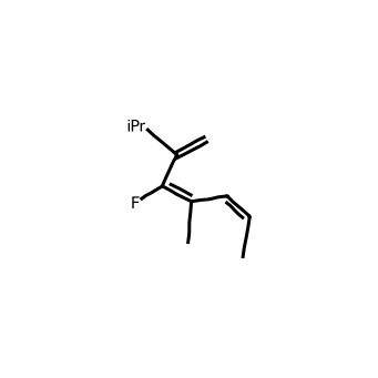 C=C(/C(F)=C(C)\C=C/C)C(C)C